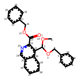 COC(OCc1ccccc1)c1c(C(=O)OCc2ccccc2)ncc2ccccc12